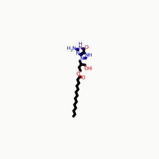 CCCCCCCCCCCCCC(=O)OCCC(CO)CN1CNc2c1nc(N)[nH]c2=O